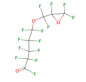 O=C(F)C(F)(F)C(F)(F)C(F)(F)C(F)(F)OC(F)(F)C1(F)OC1(F)F